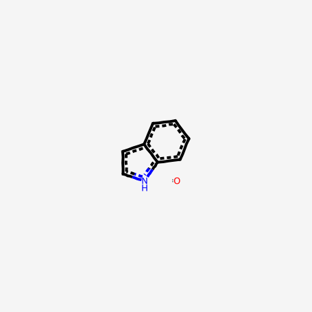 [O].c1ccc2[nH]ccc2c1